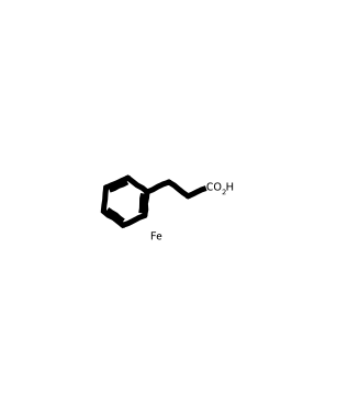 O=C(O)CCc1ccccc1.[Fe]